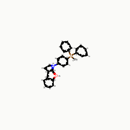 CC(C)S(c1ccccc1)(c1ccccc1)c1ccc(-n2ccc3c4ccccc4oc32)cc1